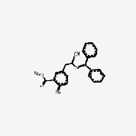 COC(=O)c1cc(CC(C#N)N=C(c2ccccc2)c2ccccc2)ccc1Br